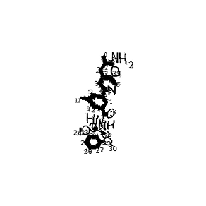 C=C(Cc1ccnc(-c2cc(C)cc(C(=O)NNS(=O)(=O)c3c(OC)cccc3OC)c2)c1)C(N)=O